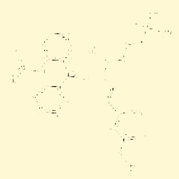 COC(C)(C)CCCC(C)C/C=C/C(C)=C/C(=O)OC(C)C.NC(=O)Nc1ccccc1C(=O)c1ccccc1